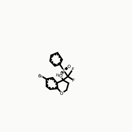 O=S(=O)(c1ccccc1)C(F)(F)C1(O)CCOc2ccc(Br)cc21